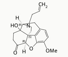 C=CCN1CC[C@]23c4c5ccc(OC)c4O[C@H]2C(=O)CCC3(O)[C@H]1C5